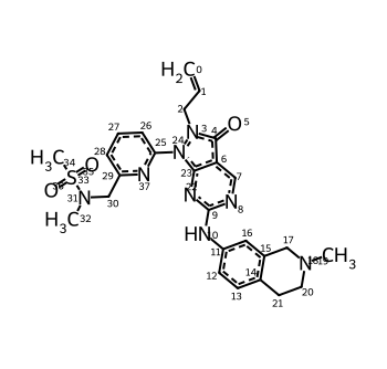 C=CCn1c(=O)c2cnc(Nc3ccc4c(c3)CN(C)CC4)nc2n1-c1cccc(CN(C)S(C)(=O)=O)n1